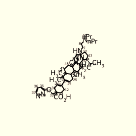 C=C[C@@]12CC[C@@]3(NCCN(CCC)CCC)CC[C@@H](C(=C)C)C3[C@H]1CCC1[C@@]3(C)CC=C(C4=CCC(COc5cccnn5)(C(=O)O)CC4)C(C)(C)C3CC[C@]12C